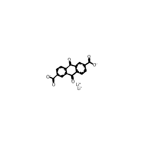 O=C([O-])c1ccc2c(c1)C(=O)c1ccc(C(=O)[O-])cc1C2=O.[Li+].[Li+]